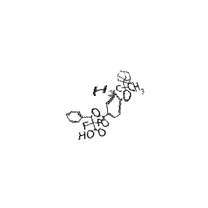 CC(C)(Oc1ccc(C(=O)OC(c2ccccc2)C(F)(F)C(=O)O)cc1)C12CC3CC(CC(C3)C1)C2